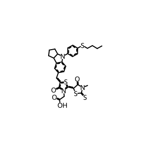 CCCCSc1ccc(N2c3ccc(/C=c4\s/c(=C5/SC(=S)N(C)C5=O)n(CC(=O)O)c4=O)cc3C3CCCC32)cc1